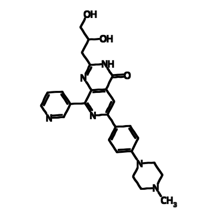 CN1CCN(c2ccc(-c3cc4c(=O)[nH]c(CC(O)CO)nc4c(-c4cccnc4)n3)cc2)CC1